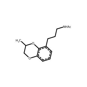 CC(=O)NCCCc1cccc2c1OC(C)CO2